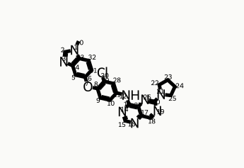 Cn1cnc2cc(Oc3ccc(Nc4ncnc5cnc(N6CCCC6)nc45)cc3Cl)ccc21